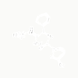 CC(C)(C)C(NC(=O)O)C(NC(=O)c1ccc(Br)s1)c1ccccc1